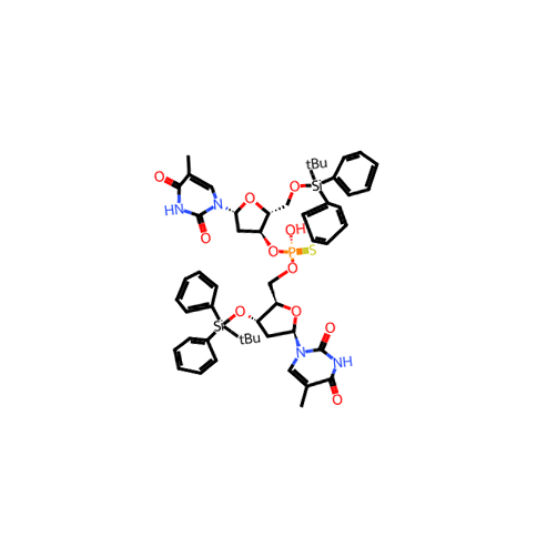 Cc1cn([C@H]2C[C@H](O[Si](c3ccccc3)(c3ccccc3)C(C)(C)C)[C@@H](CO[P@](O)(=S)O[C@H]3C[C@H](n4cc(C)c(=O)[nH]c4=O)O[C@@H]3CO[Si](c3ccccc3)(c3ccccc3)C(C)(C)C)O2)c(=O)[nH]c1=O